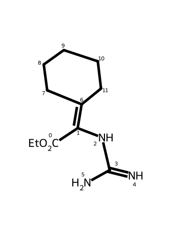 CCOC(=O)C(NC(=N)N)=C1CCCCC1